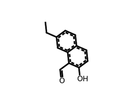 CCc1ccc2ccc(O)c(C=O)c2c1